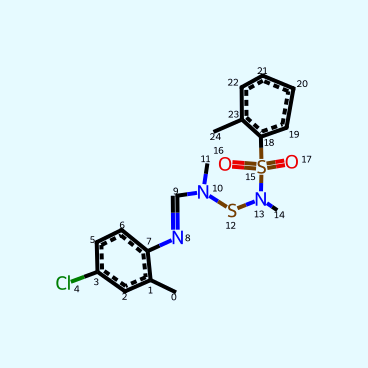 Cc1cc(Cl)ccc1N=CN(C)SN(C)S(=O)(=O)c1ccccc1C